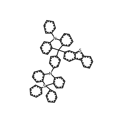 c1ccc(N2c3ccccc3C(c3ccc(N4c5ccccc5[Si](c5ccccc5)(c5ccccc5)c5ccccc54)cc3)(c3ccc4c(c3)sc3ccccc34)c3ccccc32)cc1